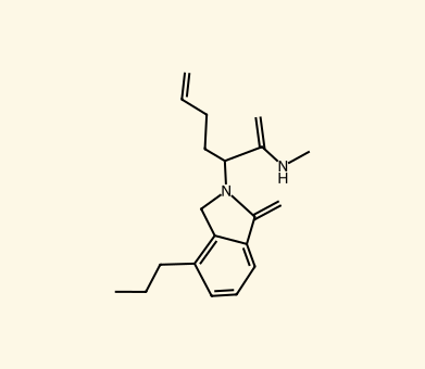 C=CCCC(C(=C)NC)N1Cc2c(CCC)cccc2C1=C